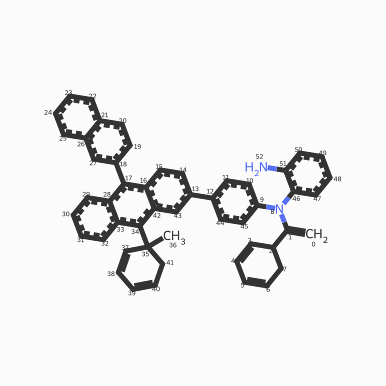 C=C(C1C=CC=CC1)N(c1ccc(-c2ccc3c(-c4ccc5ccccc5c4)c4ccccc4c(C4(C)C=CC=CC4)c3c2)cc1)c1ccccc1N